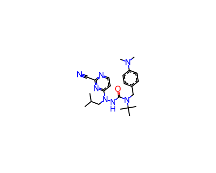 CC(C)CN(NC(=O)N(Cc1ccc(N(C)C)cc1)C(C)(C)C)c1ccnc(C#N)n1